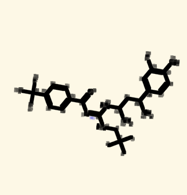 CC(C)(C)CN/C(=N/C(=O)c1ccc(C(F)(F)F)cc1)NC(N)CC(N)c1ccc(O)c(F)c1